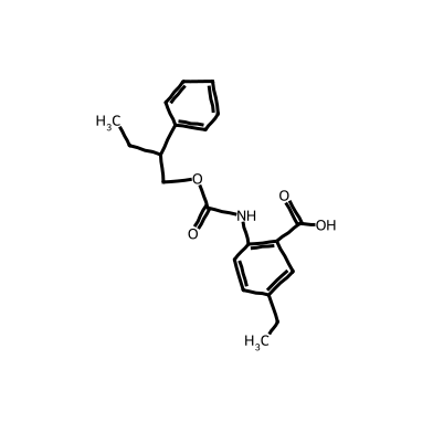 CCc1ccc(NC(=O)OCC(CC)c2ccccc2)c(C(=O)O)c1